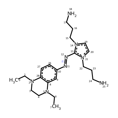 CCN1CCN(CC)c2cc(/N=N/c3n(CCCN)cc[n+]3CCCN)ccc21